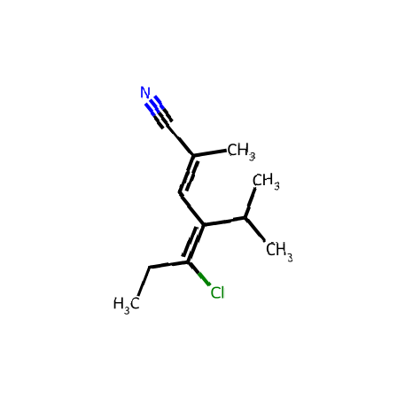 CC/C(Cl)=C(\C=C(/C)C#N)C(C)C